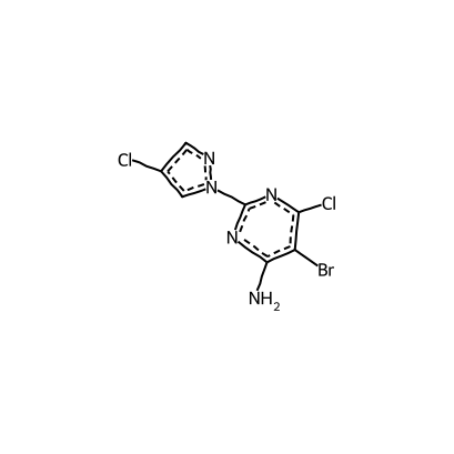 Nc1nc(-n2cc(Cl)cn2)nc(Cl)c1Br